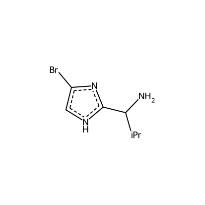 CC(C)C(N)c1nc(Br)c[nH]1